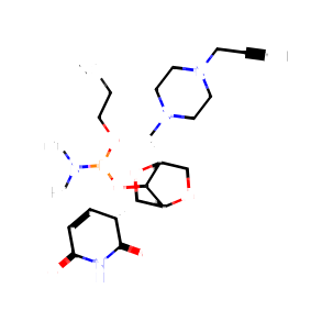 C#CCN1CCN(C[C@]23COC(C2OP(OCCC#N)N(C(C)C)C(C)C)[C@H](C2C=CC(=O)NC2=O)O3)CC1